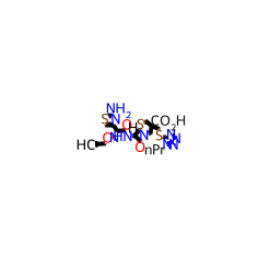 C#CCON=C(C(=O)NC1C(=O)N2CC(CSc3nnnn3CCC)(C(=O)O)CS[C@H]12)c1csc(N)n1